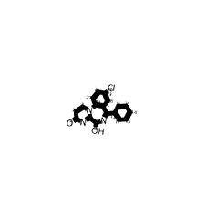 O=c1ccn2c(n1)C(O)N=C(c1ccccc1)c1cc(Cl)ccc1-2